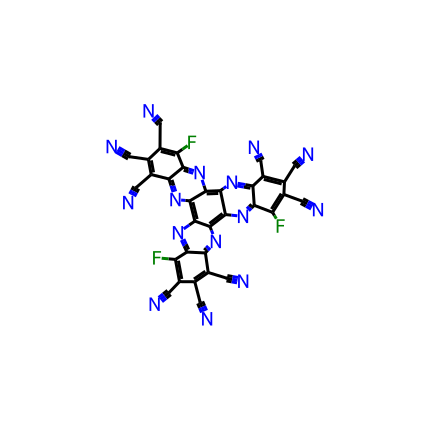 N#Cc1c(C#N)c(C#N)c2nc3c4nc5c(F)c(C#N)c(C#N)c(C#N)c5nc4c4nc5c(F)c(C#N)c(C#N)c(C#N)c5nc4c3nc2c1F